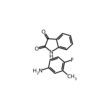 Cc1cc(N)ccc1F.O=C1Nc2ccccc2C1=O